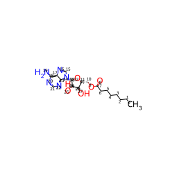 CCCCCCCC(=O)OC[C@H]1O[C@@H](n2cnc3c(N)ncnc32)[C@H](O)[C@@H]1O